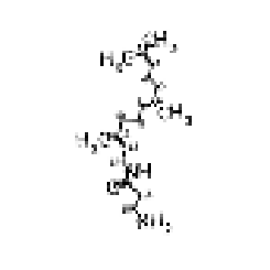 CC(C)=CCCC(C)=CCCC(C)=CCNC(=O)CCN